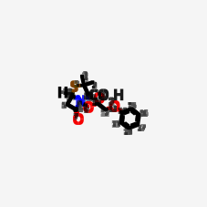 CC1(C)S[C@@H]2CC(=O)[N+]2(OC(=O)COc2ccccc2)[C@H]1C(=O)O